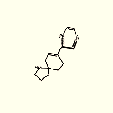 C1=C(c2cnccn2)CCC2(C1)CCCN2